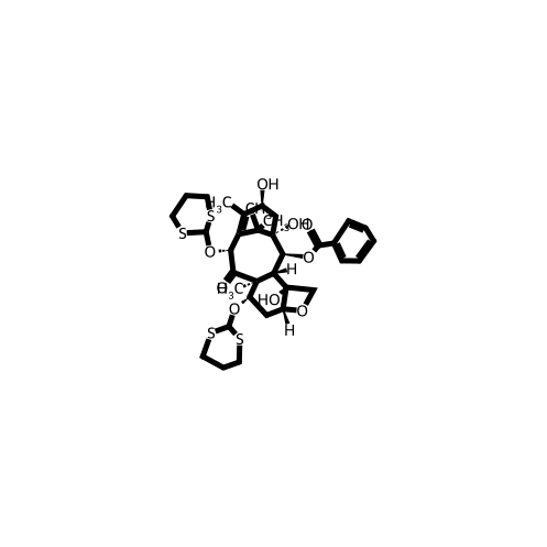 CC1=C2[C@@H](OC3SCCCS3)C(=O)[C@]3(C)[C@@H](OC4SCCCS4)C[C@H]4OC[C@@]4(O)[C@H]3[C@H](OC(=O)c3ccccc3)[C@](O)(C[C@@H]1O)C2(C)C